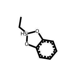 CC[SiH]1Oc2ccccc2O1